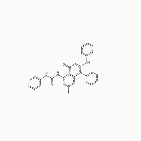 Cc1cc(NC(=O)Nc2ccccc2)c2c(=O)cc(Nc3ccccc3)n(-c3ccccc3)c2n1